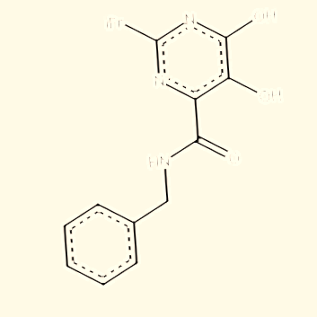 CC(C)c1nc(O)c(O)c(C(=O)NCc2ccccc2)n1